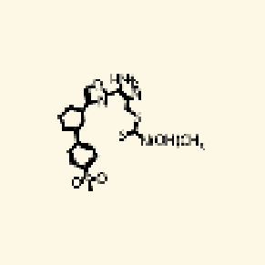 CN(O)C(=S)SCc1nn[nH]c1-c1nc(C2CCC=C(c3ccc(S(C)(=O)=O)cc3)C2)co1